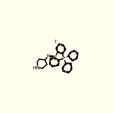 [I-].c1ccc([P+](c2ccccc2)(c2ccccc2)c2ccccc2N=NC2CCNCC2)cc1